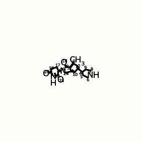 Cc1cc(C2CCNCC2)cc2c1C(=O)N(C1CCC(=O)NC1=O)C2